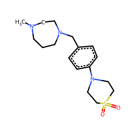 CN1CCCN(Cc2ccc(N3CCS(=O)(=O)CC3)cc2)CC1